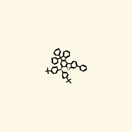 CC(C)(C)c1ccc(N(c2ccc(C(C)(C)C)cc2)c2cc3c(c4c2oc2cc(-c5ccccc5)ccc24)-c2ccccc2C3(c2ccccc2)c2ccccc2)cc1